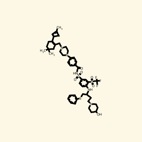 CC1(C)CCC(C23CC(C)(C2)C3)=C(CN2CCN(c3ccc(C(=O)NS(=O)(=O)c4ccc(NC(CCN5CCC(O)CC5)CSc5ccccc5)c(S(=O)(=O)C(F)(F)F)c4)cc3)CC2)C1